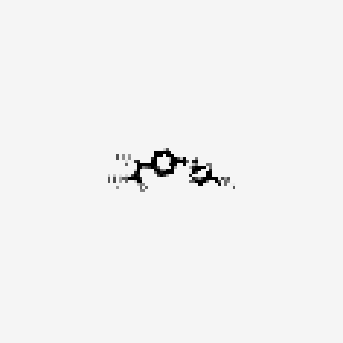 CC(C(N)=O)c1ccc(Nc2nc(C(F)(F)F)cs2)cc1